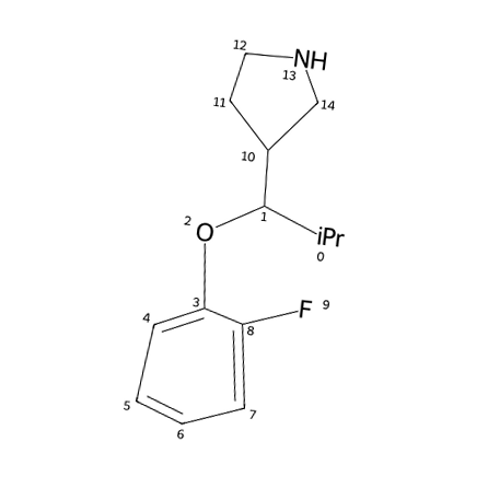 CC(C)C(Oc1ccccc1F)C1CCNC1